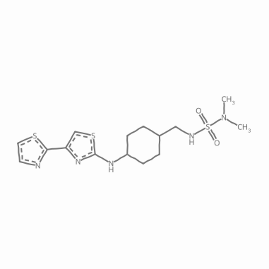 CN(C)S(=O)(=O)NCC1CCC(Nc2nc(-c3nccs3)cs2)CC1